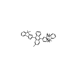 Cc1ccc2c(-c3ccc4c(c3)N(C)c3ccccc3[Si]4(C)C)c3ccccc3c(-c3ccc4c(c3)C(C)(C)c3ccccc3-4)c2c1